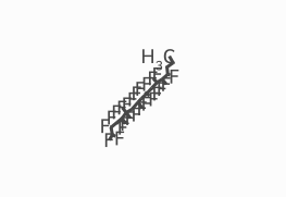 CCCC(F)C(F)(F)C(F)(F)C(F)(F)C(F)(F)C(F)(F)C(F)(F)C(F)(F)C(F)(F)C(F)(F)C(F)(F)C(F)C(F)F